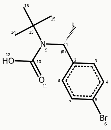 C[C@H](c1ccc(Br)cc1)N(C(=O)O)C(C)(C)C